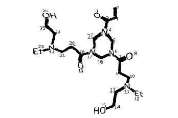 C=CC(=O)N1CN(C(=O)CCN(CC)CCO)CN(C(=O)CCN(CC)CCO)C1